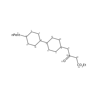 CCCCCC1CCC(C2CCC(CC(=O)CC(=O)OCC)CC2)CC1